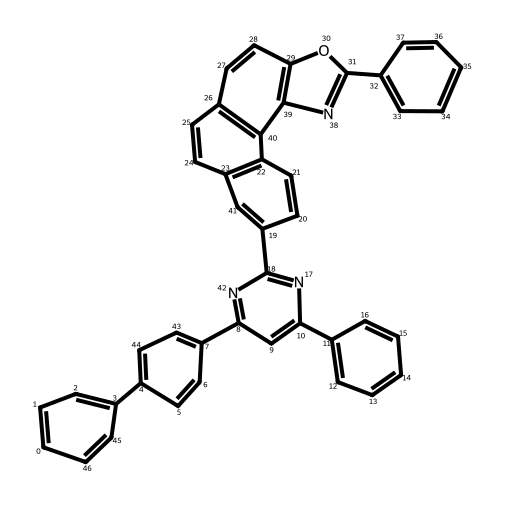 c1ccc(-c2ccc(-c3cc(-c4ccccc4)nc(-c4ccc5c(ccc6ccc7oc(-c8ccccc8)nc7c65)c4)n3)cc2)cc1